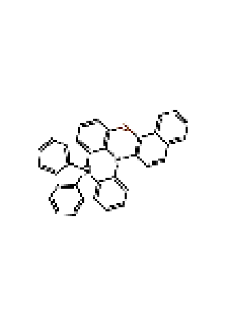 c1ccc([Si]2(c3ccccc3)c3ccccc3B3c4ccc5ccccc5c4Sc4cccc2c43)cc1